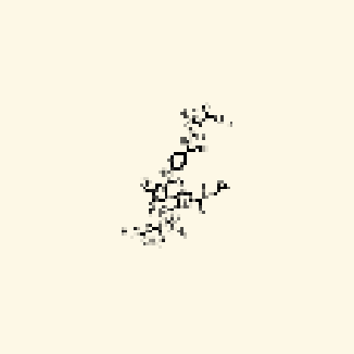 C=Cc1cc(C(=O)Nc2ccc(C(=N)NC(=O)OC(C)OC(C)=O)cc2)c(-c2ccc(C(=O)NCC3CC3)nc2C(=O)OC(C)OC(=O)OC(C)C)cc1OC